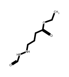 CCOC(=O)CCCNBC=O